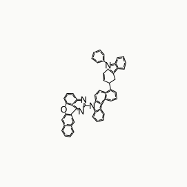 C1=CC(c2cccc3c2ccc2c3c3ccccc3n2-c2nc3c4c(cccc4n2)Oc2cc4ccccc4cc2-3)Cc2c1n(-c1ccccc1)c1ccccc21